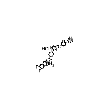 Cl.N[C@H](CC(=O)N1CCC(n2ncc(COc3ccc(-n4cnnn4)nc3)n2)CC1)Cc1cc(F)c(F)cc1F